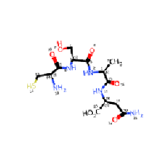 C[C@H](NC(=O)[C@H](CO)NC(=O)[C@@H](N)CS)C(=O)N[C@@H](CC(N)=O)C(=O)O